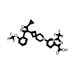 O=C(O)c1nc(C(F)(F)F)n2cc(N3CCC4(C=C(c5c(-c6ccccc6OC(F)(F)F)noc5C5CC5)C4)CC3)ccc12